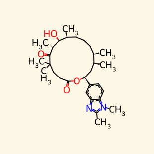 Cc1nc2cc([C@@H]3C[C@H](C)[C@H](C)CCC[C@H](C)[C@H](O)[C@@H](C)C(=O)C(C)(C)CCC(=O)O3)ccc2n1C